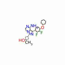 CC1(O)CC(c2nc(-c3ccc(Oc4ccccc4)c(F)c3F)c3c(N)nccn23)C1